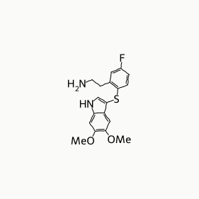 COc1cc2[nH]cc(Sc3ccc(F)cc3CCN)c2cc1OC